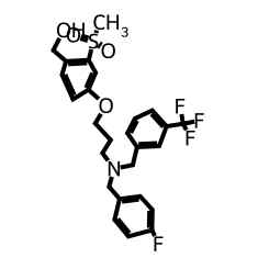 CS(=O)(=O)c1cc(OCCCN(Cc2ccc(F)cc2)Cc2cccc(C(F)(F)F)c2)ccc1CO